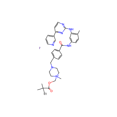 CCC(C)(C)C(=O)OC[N+]1(C)CCN(Cc2ccc(C(=O)Nc3ccc(C)c(Nc4nccc(-c5cccnc5)n4)c3)cc2)CC1.[I-]